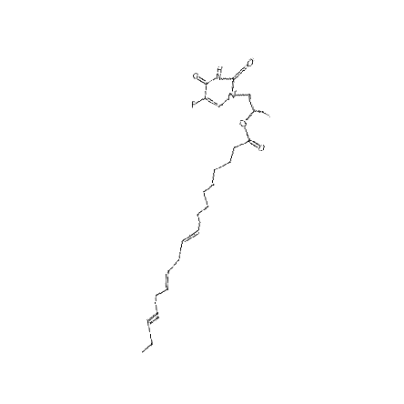 CCC=CCC=CCC=CCCCCCCCC(=O)OC(C)Cn1cc(F)c(=O)[nH]c1=O